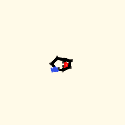 C1CC2CC[C](N1)O2